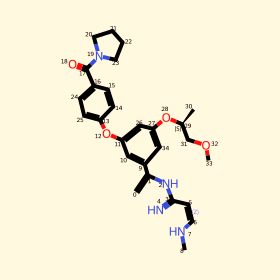 C=C(NC(=N)/C=C\NC)c1cc(Oc2ccc(C(=O)N3CCCC3)cc2)cc(O[C@@H](C)COC)c1